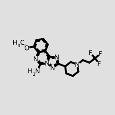 COc1cccc2c1nc(N)n1nc(C3CCCN(CCC(F)(F)F)C3)nc21